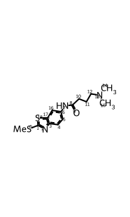 CSc1nc2ccc(NC(=O)CCCN(C)C)cc2s1